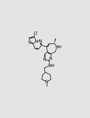 C[C@@H]1C=C(c2ccc3ncc(Cl)n3n2)c2cnc(NCC3CCN(C)CC3)nc2CN1